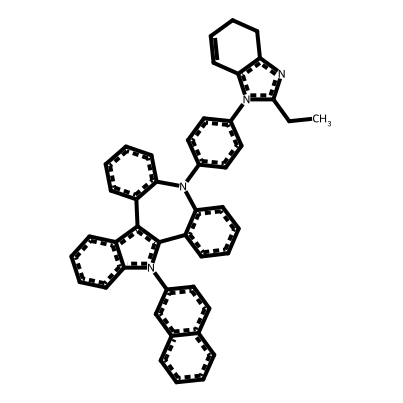 CCc1nc2c(n1-c1ccc(N3c4ccccc4-c4c(n(-c5ccc6ccccc6c5)c5ccccc45)-c4ccccc43)cc1)C=CCC2